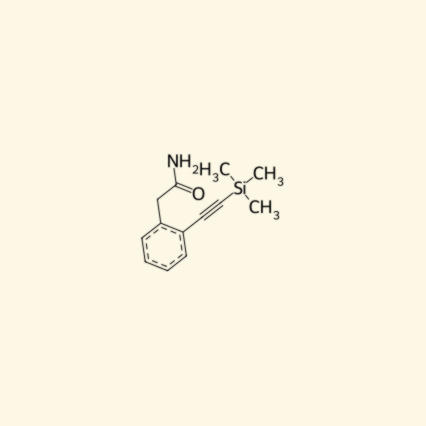 C[Si](C)(C)C#Cc1ccccc1CC(N)=O